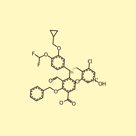 O=Cc1c([C@@H](Cc2c(Cl)c[n+](O)cc2Cl)c2ccc(OC(F)F)c(OCC3CC3)c2)ccc(C(=O)[O-])c1OCc1ccccc1